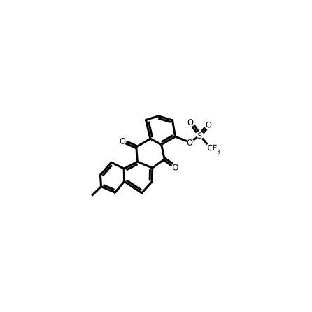 Cc1ccc2c3c(ccc2c1)C(=O)c1c(OS(=O)(=O)C(F)(F)F)cccc1C3=O